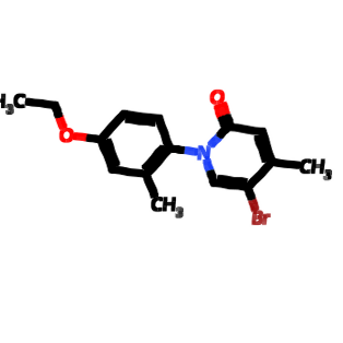 CCOc1ccc(-n2cc(Br)c(C)cc2=O)c(C)c1